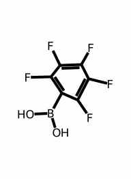 OB(O)c1c(F)c(F)c(F)c(F)c1F